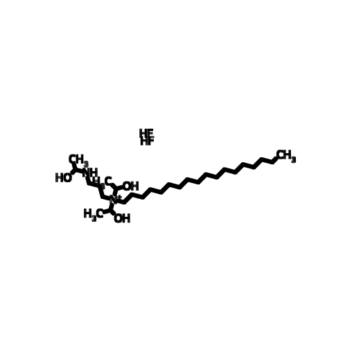 CCCCCCCCCCCCCCCCCC[N+](CCCNC(C)O)(C(C)O)C(C)O.F.F